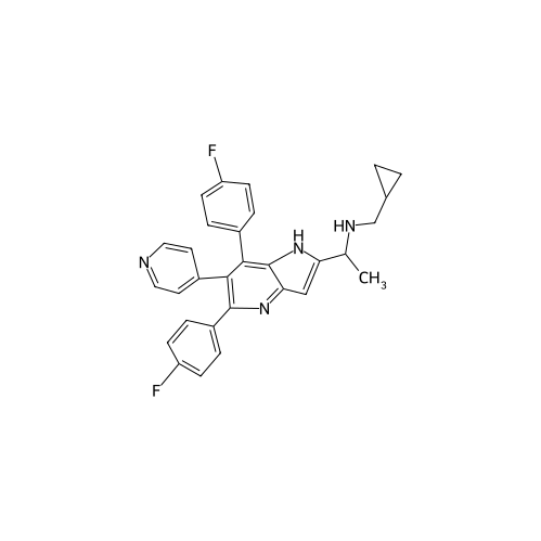 CC(NCC1CC1)c1cc2nc(-c3ccc(F)cc3)c(-c3ccncc3)c(-c3ccc(F)cc3)c2[nH]1